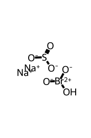 O=S([O-])[O-].[Na+].[Na+].[O-][Br+2]([O-])O